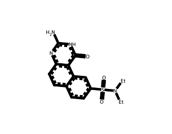 CCN(CC)S(=O)(=O)c1ccc2ccc3nc(N)[nH]c(=O)c3c2c1